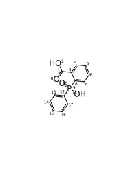 O=C(O)c1ccccc1P(=O)(O)c1ccccc1